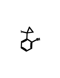 Sc1ccccc1C1(I)CC1